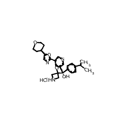 CC(C)c1ccc([C@](O)(c2cncc(-c3ncc(C4CCOCC4)o3)c2)C2(C)CNC2)cc1.Cl